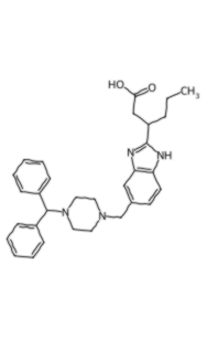 CCCC(CC(=O)O)c1nc2cc(CN3CCN(C(c4ccccc4)c4ccccc4)CC3)ccc2[nH]1